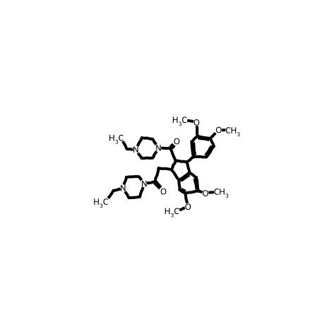 CCN1CCN(C(=O)CC2c3cc(OC)c(OC)cc3C(c3ccc(OC)c(OC)c3)C2C(=O)N2CCN(CC)CC2)CC1